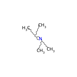 CCCCCCCC(CCCCCC)CC1CCN(CC(CCCCCC)CCCCCC)CC1